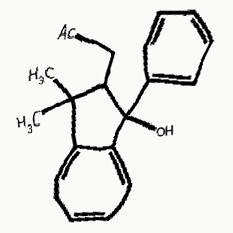 CC(=O)CC1C(C)(C)c2ccccc2C1(O)c1ccccc1